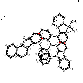 CC1(C)c2ccccc2-c2c(-c3ccccc3N(c3ccccc3-c3cccc4oc5c6ccccc6ccc5c34)c3cccc4c5ccccc5n(-c5ccccc5)c34)cccc21